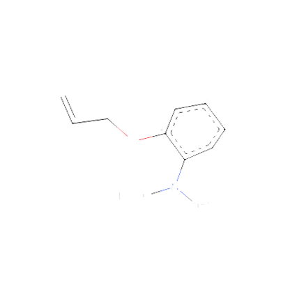 C=CCOc1ccccc1N(CCC)C(=O)O